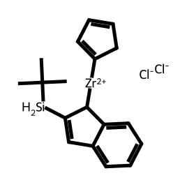 CC(C)(C)[SiH2]C1=Cc2ccccc2[CH]1[Zr+2][C]1=CC=CC1.[Cl-].[Cl-]